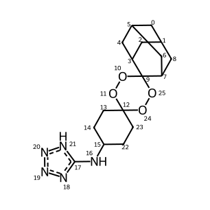 C1C2CC3CC1CC(C2)C31OOC2(CCC(Nc3nnn[nH]3)CC2)OO1